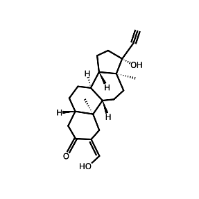 C#C[C@]1(O)CC[C@H]2[C@@H]3CC[C@H]4CC(=O)/C(=C\O)C[C@]4(C)[C@H]3CC[C@@]21C